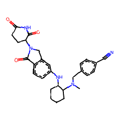 CN(Cc1ccc(C#N)cc1)C1CCCCC1Nc1ccc2c(c1)CN(C1CCC(=O)NC1=O)C2=O